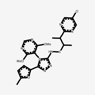 COc1ncnc(OC)c1-n1c(NSC(C)C(C)c2ncc(Cl)cn2)nnc1-c1ccc(C)o1